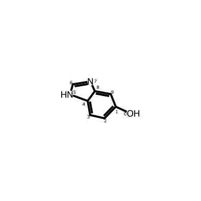 Oc1ccc2[nH]cnc2c1